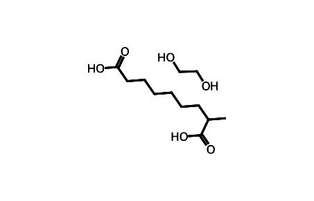 CC(CCCCCCC(=O)O)C(=O)O.OCCO